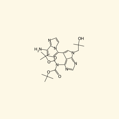 CC(C)(O)Cn1cc(-c2ccc(N)c3nccn23)c2c(N(C(=O)OC(C)(C)C)C(=O)OC(C)(C)C)ncnc21